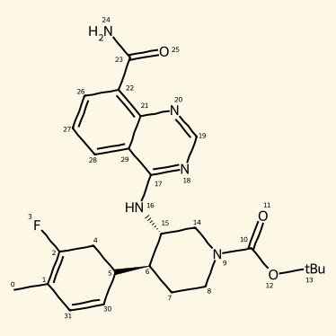 CC1=C(F)CC([C@@H]2CCN(C(=O)OC(C)(C)C)C[C@H]2Nc2ncnc3c(C(N)=O)cccc23)C=C1